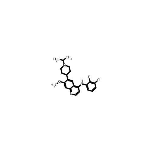 COc1cc2nccc(Nc3cccc(Cl)c3F)c2cc1C1CCN(C(C)C)CC1